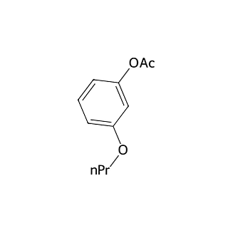 CCCOc1cccc(OC(C)=O)c1